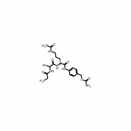 BC(=O)OCc1ccc(NC(=O)[C@H](CCCNC(N)=O)NC(=O)C(NC(=O)CP)C(C)C)cc1